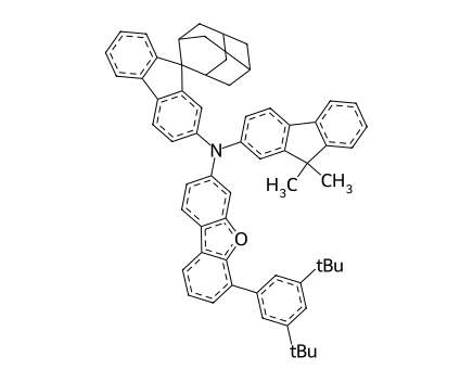 CC(C)(C)c1cc(-c2cccc3c2oc2cc(N(c4ccc5c(c4)C(C)(C)c4ccccc4-5)c4ccc5c(c4)C4(c6ccccc6-5)C5CC6CC(C5)CC4C6)ccc23)cc(C(C)(C)C)c1